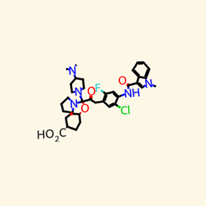 CN(C)C1CCN(C(O[C@H]2CC[C@H](C(=O)O)CC2)(C(=O)Cc2cc(Cl)c(NC(=O)c3cn(C)c4ccccc34)cc2F)N2CCCC2)CC1